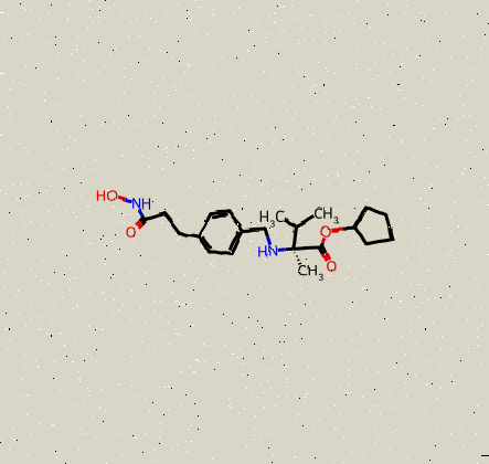 CC(C)[C@](C)(NCc1ccc(CCC(=O)NO)cc1)C(=O)OC1CCCC1